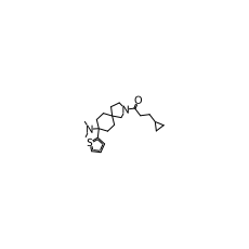 CN(C)C1(c2cccs2)CCC2(CCN(C(=O)CCC3CC3)C2)CC1